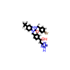 C[C@@H](NC(=O)N(Cc1ccc(C(O)Cc2nn[nH]n2)cc1)C1CCC(C(C)(C)C)CC1)c1ccc(Br)cc1